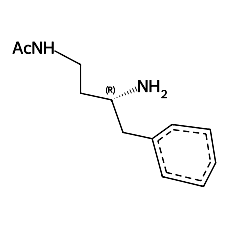 CC(=O)NCC[C@H](N)Cc1ccccc1